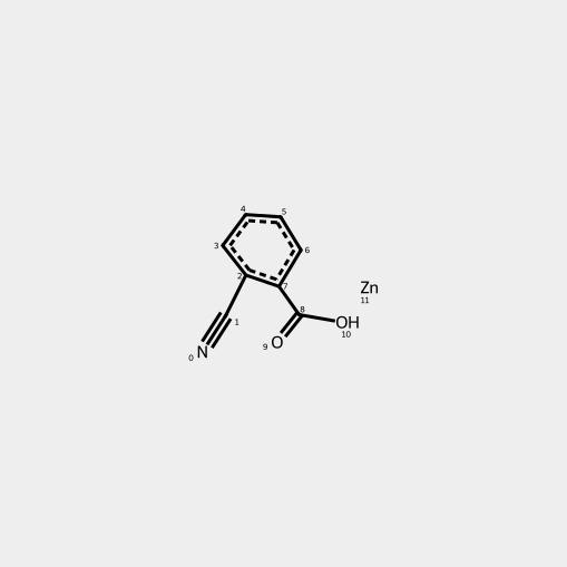 N#Cc1ccccc1C(=O)O.[Zn]